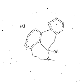 CN1CCc2cccc3c2C1(O)Cc1ccccc1-3.Cl